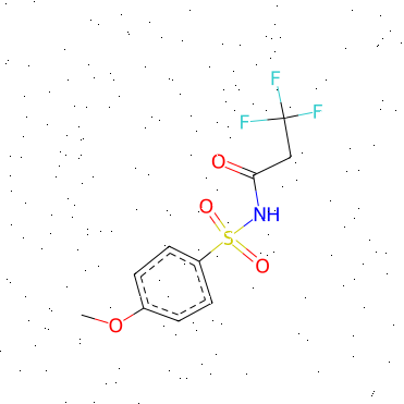 COc1ccc(S(=O)(=O)NC(=O)CC(F)(F)F)cc1